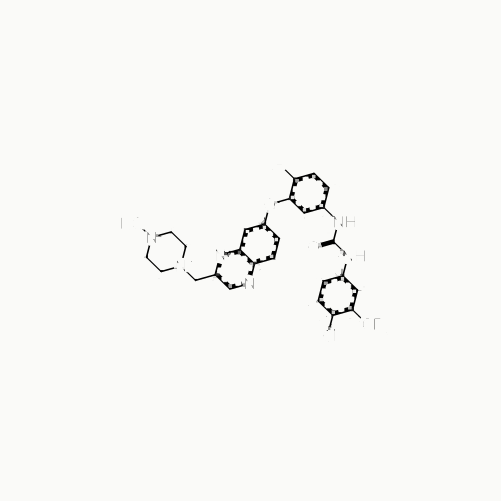 CN1CCN(Cc2cnc3ccc(Oc4cc(NC(=O)Nc5ccc(Cl)c(C(F)(F)F)c5)ccc4F)cc3n2)CC1